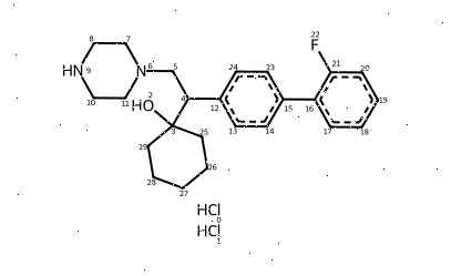 Cl.Cl.OC1(C(CN2CCNCC2)c2ccc(-c3ccccc3F)cc2)CCCCC1